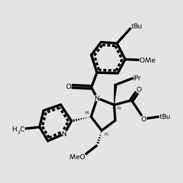 COC[C@H]1C[C@@](CC(C)C)(C(=O)OC(C)(C)C)N(C(=O)c2ccc(C(C)(C)C)c(OC)c2)[C@H]1c1ccc(C)cn1